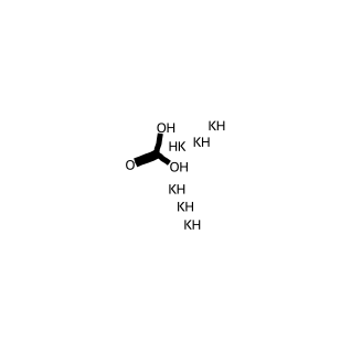 O=C(O)O.[KH].[KH].[KH].[KH].[KH].[KH]